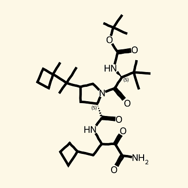 CC(C)(C)OC(=O)N[C@H](C(=O)N1CC(C(C)(C)C2(C)CCC2)C[C@H]1C(=O)NC(CC1CCC1)C(=O)C(N)=O)C(C)(C)C